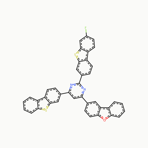 Fc1ccc2c(c1)sc1cc(-c3nc(-c4ccc5c(c4)sc4ccccc45)cc(-c4ccc5oc6ccccc6c5c4)n3)ccc12